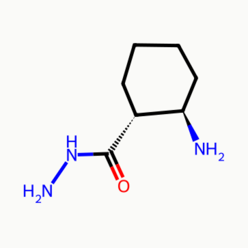 NNC(=O)[C@@H]1CCCC[C@H]1N